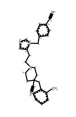 Cc1ccccc1CC1(C#N)CCN(CCc2cncn2Cc2ccc(C#N)cc2)CC1